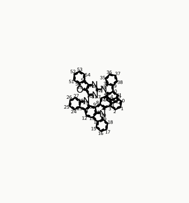 c1ccc2c(c1)ccc1c3c4c(cc5c6ccccc6n(c21)c53)c1ccccc1n4-c1nc(-n2c3ccccc3c3ccccc32)nc2c1oc1ccccc12